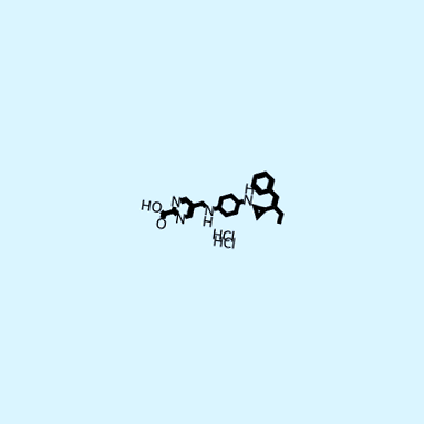 CCC(=Cc1ccccc1)C1C[C@@H]1NC1CCC(NCc2cnc(C(=O)O)nc2)CC1.Cl.Cl